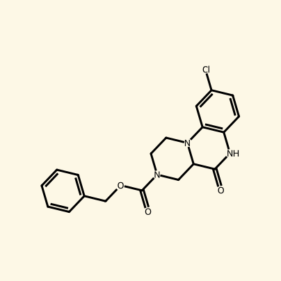 O=C1Nc2ccc(Cl)cc2N2CCN(C(=O)OCc3ccccc3)CC12